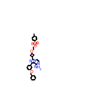 Cc1ccc(S(=O)(=O)OCCOC2CC(c3nc(-c4cccc(OCc5ccccc5)c4)c4c(N)nccn34)C2)cc1